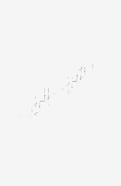 CN1CCN(C(=O)C(=O)NCCCCCCNC(=O)C(=O)N2CCN(C)CC2)CC1